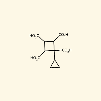 O=C(O)C1C(C(=O)O)C(C(=O)O)(C2CC2)C1C(=O)O